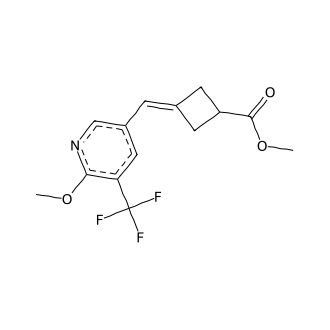 COC(=O)C1CC(=Cc2cnc(OC)c(C(F)(F)F)c2)C1